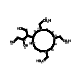 O=C(O)CN1CCNC(C(CO)[C@@H](O)CO)CN(CC(=O)O)CCN(CC(=O)O)CC1